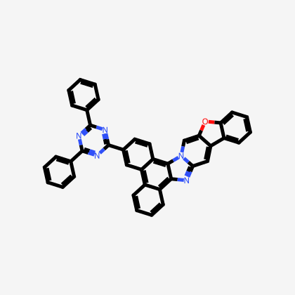 c1ccc(-c2nc(-c3ccccc3)nc(-c3ccc4c(c3)c3ccccc3c3nc5cc6c(cn5c43)oc3ccccc36)n2)cc1